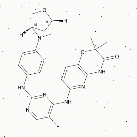 CC1(C)Oc2ccc(Nc3nc(Nc4ccc(N5C[C@@H]6C[C@H]5CO6)cc4)ncc3F)nc2NC1=O